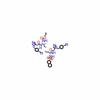 C=CCOC(=O)NC[C@@H](NC(=O)Cc1cncn1Cc1ccc(C#N)cc1)[C@@H](C)CC.CC[C@H](C)[C@@H](CNS(=O)(=O)c1ccc2ccccc2c1)NC(=O)Cc1cncn1Cc1ccc(C#N)cc1